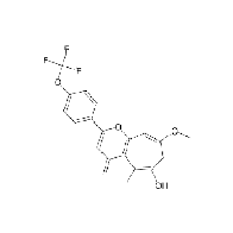 C=C1C=C(c2ccc(OC(F)(F)F)cc2)OC2=C1C(C)=C(O)CC(OC)=C2